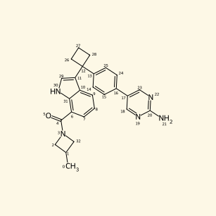 CC1CN(C(=O)c2cccc3c(C4(c5ccc(-c6cnc(N)nc6)cc5)CCC4)c[nH]c23)C1